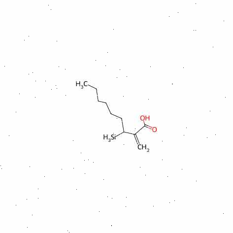 C=C(C(=O)O)C([SiH3])CCCCCC